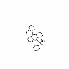 O=S(=O)(NC1CCCC(N2c3ccccc3CCc3ccccc32)C1O)c1ccccc1